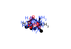 CC(C)C[C@@H](NC(=O)[C@@H](Cc1ccccc1)NC(=O)[C@H](N)Cc1ccccc1)C(=O)N[C@H](CCCCN)C(=O)NCCCC[C@H](NC(=O)[C@@H](CCCN)NC(=O)[C@@H](CC(C)C)NC(=O)[C@@H](Cc1ccccc1)NC(=O)[C@H](N)Cc1ccccc1)C(N)=O